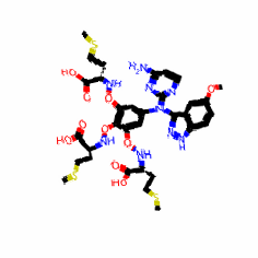 COc1ccc2[nH]nc(N(c3cc(ON[C@@H](CCSC)C(=O)O)c(ON[C@@H](CCSC)C(=O)O)c(ON[C@@H](CCSC)C(=O)O)c3)c3nccc(N)n3)c2c1